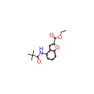 CCOC(=O)c1cc2c(NC(=O)C(C)(C)C)cccc2o1